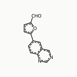 O=Cc1ccc(-c2ccc3ncncc3c2)o1